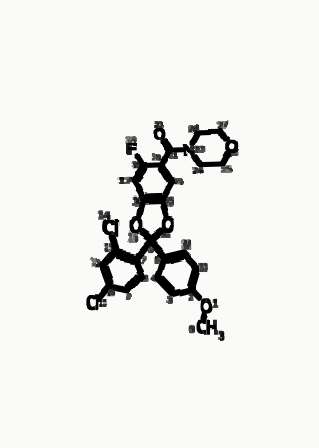 COc1ccc(C2(c3ccc(Cl)cc3Cl)Oc3cc(F)c(C(=O)N4CCOCC4)cc3O2)cc1